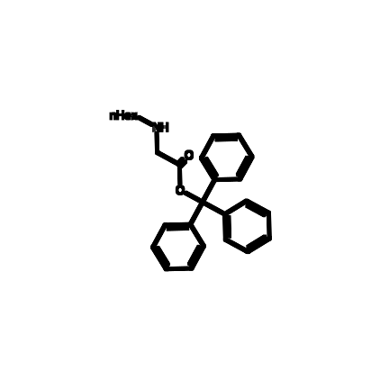 CCCCCCNCC(=O)OC(c1ccccc1)(c1ccccc1)c1ccccc1